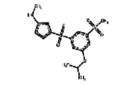 CNc1ccc(S(=O)(=O)c2cc(OC(C)C)cc(S(C)(=O)=O)c2)s1